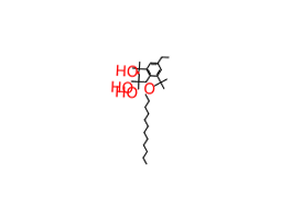 CCCCCCCCCCCCOC(c1c(C(C)(C)C)cc(CC)cc1C(C)(C)C)C(CO)(CO)CO